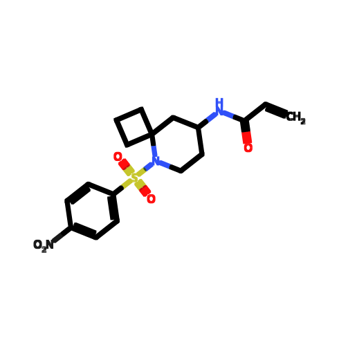 C=CC(=O)NC1CCN(S(=O)(=O)c2ccc([N+](=O)[O-])cc2)C2(CCC2)C1